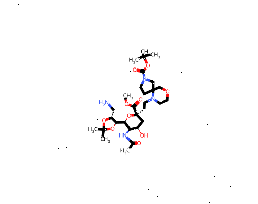 COC(=O)[C@@]1(CCN2CCOCC23CCN(C(=O)OC(C)(C)C)C3)C[C@H](O)[C@@H](NC(C)=O)[C@H]([C@@H]2OC(C)(C)O[C@@H]2CN)O1